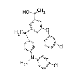 C=C(O)c1cc(Oc2cccc(Cl)c2)cc(C(=C)c2ccc(N(C)c3ccc(Cl)cc3)cc2)c1